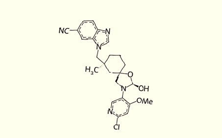 COc1cc(Cl)ncc1N1C[C@@]2(CCC[C@](C)(Cn3cnc4ccc(C#N)cc43)C2)O[C@H]1O